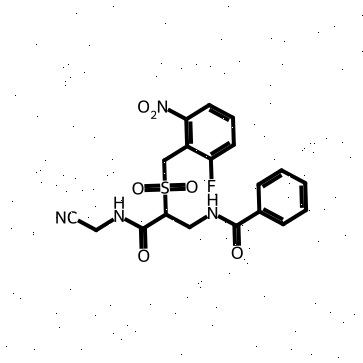 N#CCNC(=O)C(CNC(=O)c1ccccc1)S(=O)(=O)Cc1c(F)cccc1[N+](=O)[O-]